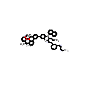 C=C/C=C(\C=C/CC1=CC(/C=C\C=C/C)=CC=CC1)N(c1ccc(-c2ccc(C(=C)/C=C\C=C/C)c(-c3cccc4c3Cc3ccccc3C4(C)C)c2)cc1C)c1cccc2ccccc12